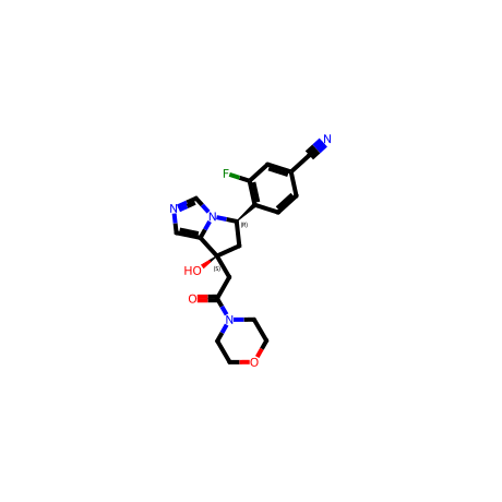 N#Cc1ccc([C@H]2C[C@](O)(CC(=O)N3CCOCC3)c3cncn32)c(F)c1